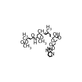 CC(=O)O[C@@H](C)C=CC(=O)N[C@@H]1C[C@H](C)[C@H](CC=C(C)C=C[C@H]2O[C@H](CC(=O)On3nnc4cccnc43)C[C@@]3(CO3)[C@@H]2O)O[C@@H]1C